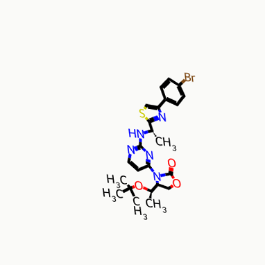 C[C@H](Nc1nccc(N2C(=O)OCC2[C@@H](C)OC(C)(C)C)n1)c1nc(-c2ccc(Br)cc2)cs1